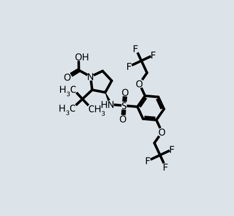 CC(C)(C)C1[C@H](NS(=O)(=O)c2cc(OCC(F)(F)F)ccc2OCC(F)(F)F)CCN1C(=O)O